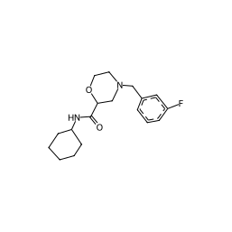 O=C(NC1CCCCC1)C1CN(Cc2cccc(F)c2)CCO1